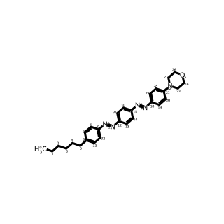 CCCCCCc1ccc(N=Nc2ccc(N=Nc3ccc(N4CCOCC4)cc3)cc2)cc1